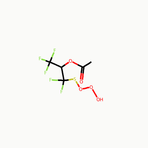 CC(=O)OC(C(F)(F)F)C(F)(F)SOOO